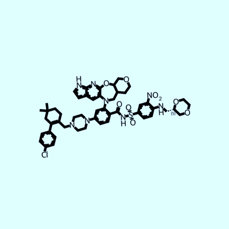 CC1(C)CCC(CN2CCN(c3ccc(C(=O)NS(=O)(=O)c4ccc(NC[C@H]5COCCO5)c([N+](=O)[O-])c4)c(N4CC5CCOCC5Oc5nc6[nH]ccc6cc54)c3)CC2)=C(c2ccc(Cl)cc2)C1